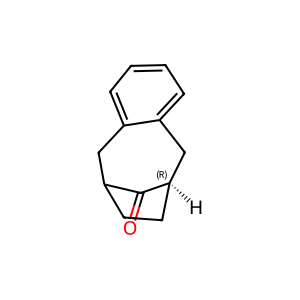 O=C1C2CC[C@@H]1Cc1ccccc1C2